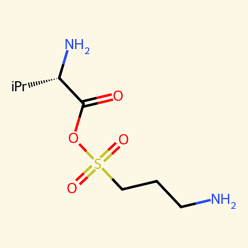 CC(C)[C@H](N)C(=O)OS(=O)(=O)CCCN